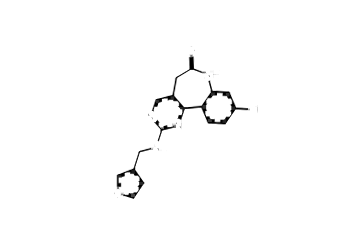 O=C1Cc2cnc(NCc3ccoc3)nc2-c2ccc(Cl)cc2N1